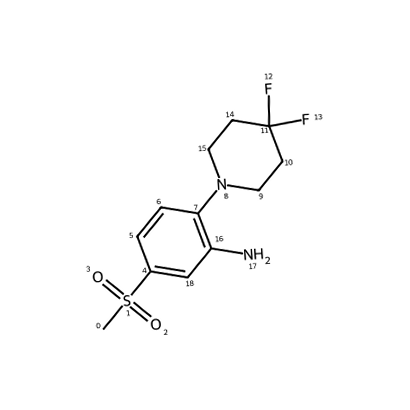 CS(=O)(=O)c1ccc(N2CCC(F)(F)CC2)c(N)c1